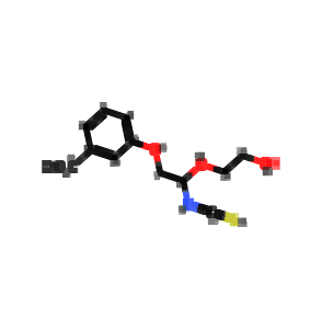 CCOC(=O)c1cccc(OCC(N=C=S)OCCO)c1